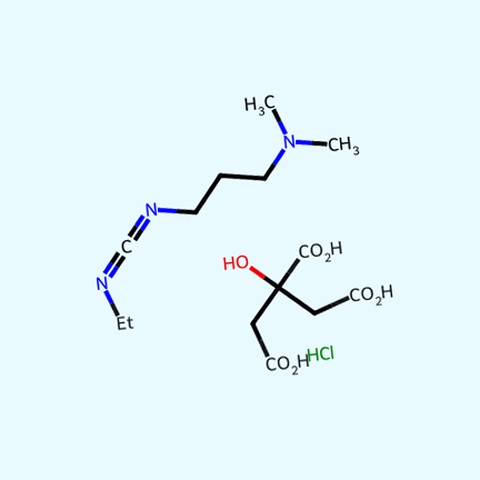 CCN=C=NCCCN(C)C.Cl.O=C(O)CC(O)(CC(=O)O)C(=O)O